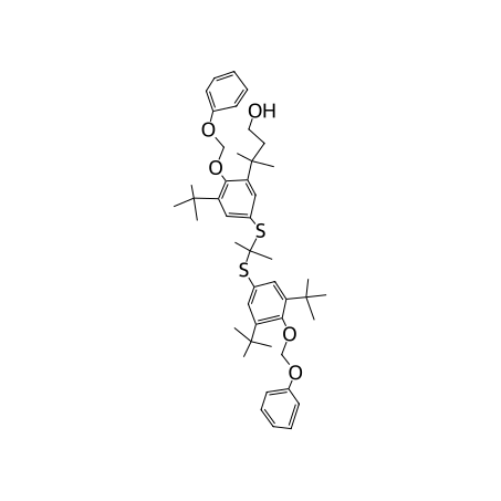 CC(C)(Sc1cc(C(C)(C)C)c(OCOc2ccccc2)c(C(C)(C)C)c1)Sc1cc(C(C)(C)C)c(OCOc2ccccc2)c(C(C)(C)CCO)c1